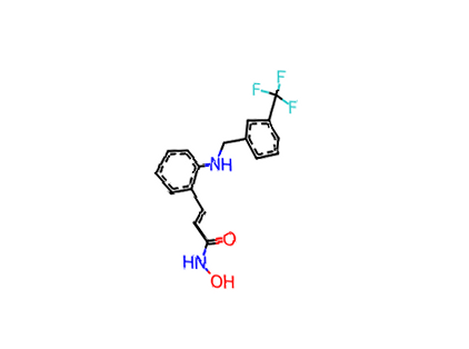 O=C(C=Cc1ccccc1NCc1cccc(C(F)(F)F)c1)NO